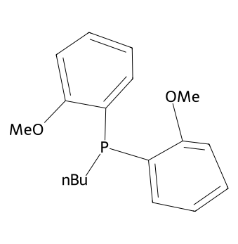 CCCCP(c1ccccc1OC)c1ccccc1OC